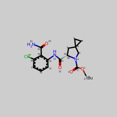 CC(C)(C)OC(=O)N1CC2(CC2)C[C@H]1C(=O)Nc1cccc(Cl)c1C(N)=O